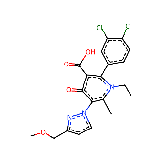 CCn1c(C)c(-n2ccc(COC)n2)c(=O)c(C(=O)O)c1-c1ccc(Cl)c(Cl)c1